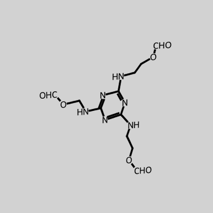 O=COCCNc1nc(NCCOC=O)nc(NCOC=O)n1